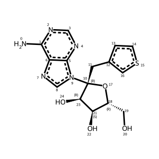 Nc1ncnc2c1ncn2[C@]1(Cc2ccsc2)O[C@H](CO)[C@@H](O)[C@H]1O